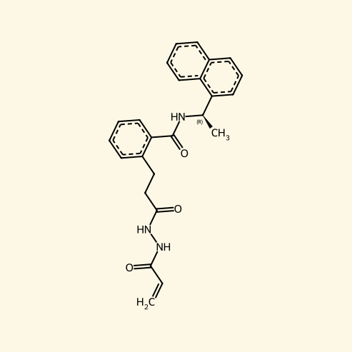 C=CC(=O)NNC(=O)CCc1ccccc1C(=O)N[C@H](C)c1cccc2ccccc12